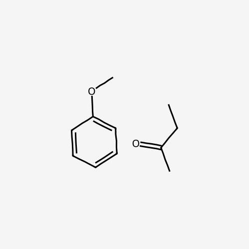 CCC(C)=O.COc1ccccc1